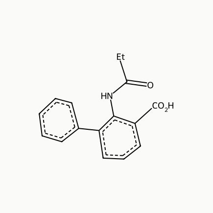 CCC(=O)Nc1c(C(=O)O)cccc1-c1ccccc1